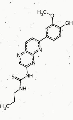 CCCNC(=S)Nc1cnc2ccc(-c3ccc(O)c(OC)c3)nc2n1